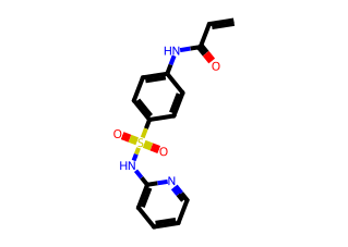 C=CC(=O)Nc1ccc(S(=O)(=O)Nc2ccccn2)cc1